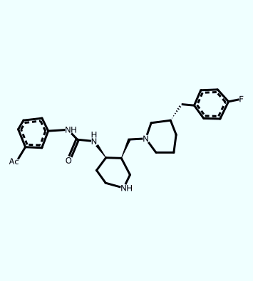 CC(=O)c1cccc(NC(=O)N[C@@H]2CCNC[C@@H]2CN2CCC[C@@H](Cc3ccc(F)cc3)C2)c1